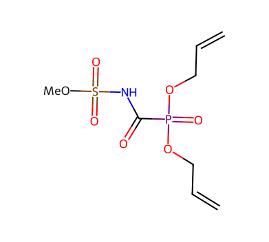 C=CCOP(=O)(OCC=C)C(=O)NS(=O)(=O)OC